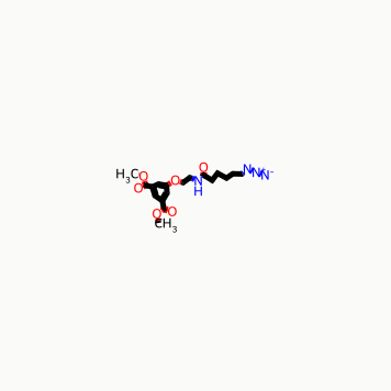 COC(=O)c1cc(OCCNC(=O)CCCCCN=[N+]=[N-])cc(C(=O)OC)c1